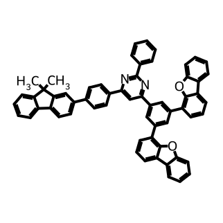 CC1(C)c2ccccc2-c2ccc(-c3ccc(-c4cc(-c5cc(-c6cccc7c6oc6ccccc67)cc(-c6cccc7c6oc6ccccc67)c5)nc(-c5ccccc5)n4)cc3)cc21